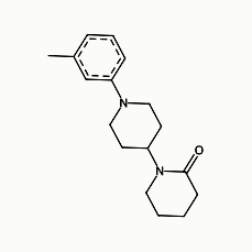 Cc1cccc(N2CCC(N3CCCCC3=O)CC2)c1